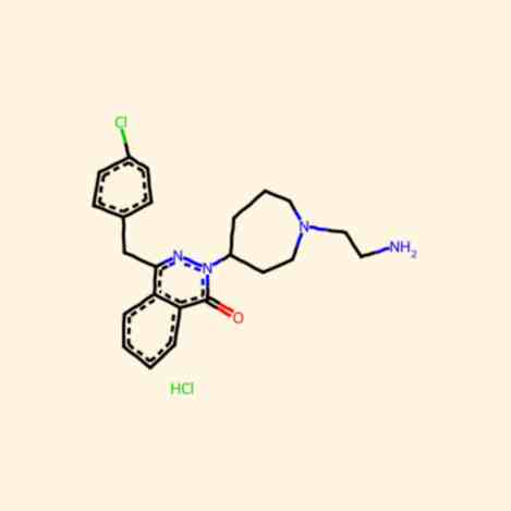 Cl.NCCN1CCCC(n2nc(Cc3ccc(Cl)cc3)c3ccccc3c2=O)CC1